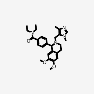 CCN(CC)C(=O)c1ccc(C2c3cc(OC)c(OC)cc3CCN2Cc2c(C)ncn2C)cc1